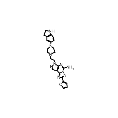 Nc1nc2c(cnn2CCN2CCN(c3ccc4c(c3)CCN4)CC2)c2nc(-c3ccco3)nn12